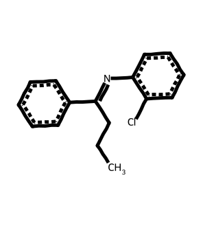 CCCC(=Nc1ccccc1Cl)c1ccccc1